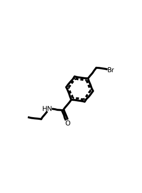 CCNC(=O)c1ccc(CBr)cc1